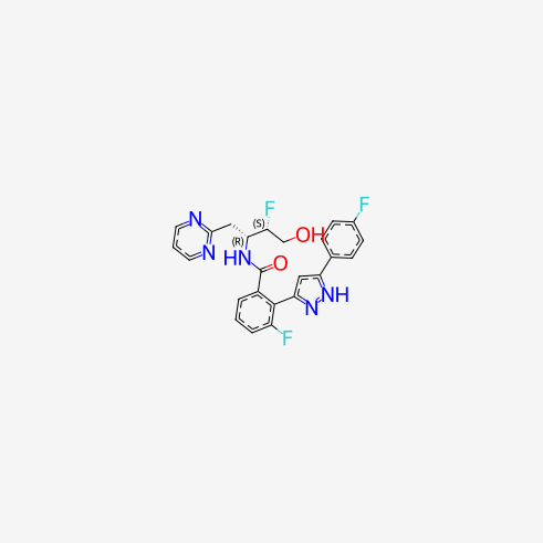 O=C(N[C@H](Cc1ncccn1)[C@H](F)CO)c1cccc(F)c1-c1cc(-c2ccc(F)cc2)[nH]n1